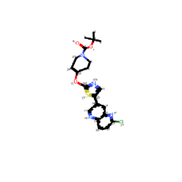 CC(C)(C)OC(=O)N1CCC(Oc2ncc(-c3cnc4ccc(Cl)nc4c3)s2)CC1